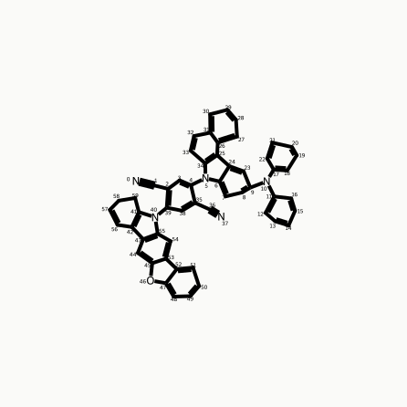 N#Cc1cc(-n2c3ccc(N(c4ccccc4)c4ccccc4)cc3c3c4ccccc4ccc32)c(C#N)cc1-n1c2c(c3cc4oc5ccccc5c4cc31)C=CCC2